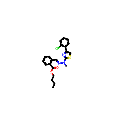 CCCCOC(=O)c1ccccc1/C=N/N(C)c1nc(-c2ccccc2Cl)cs1